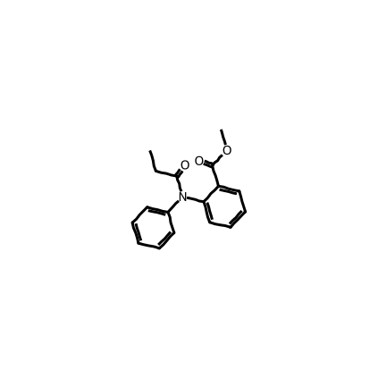 CCC(=O)N(c1ccccc1)c1ccccc1C(=O)OC